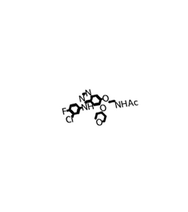 CC(=O)NCCOc1cc2ncnc(Nc3ccc(F)c(Cl)c3)c2cc1OC1CCOCC1